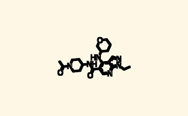 CCn1ncc2c(NC3CCCOC3)c(C(=O)NC3CCN(C(C)=O)CC3)cnc21